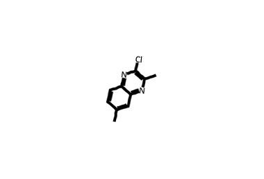 Cc1ccc2nc(Cl)c(C)nc2c1